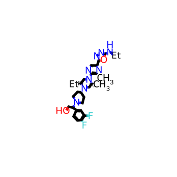 CCNc1nnc(-c2cnc(N3C[C@H](CC)N(C4CCN(C(CO)c5ccc(F)c(F)c5)CC4)C[C@H]3C)c(C)n2)o1